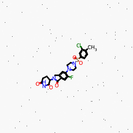 Cc1ccc(S(=O)(=O)N2CCN(c3cc4c(cc3F)C(=O)N(C3CCC(=O)NC3=O)C4)CC2)cc1Cl